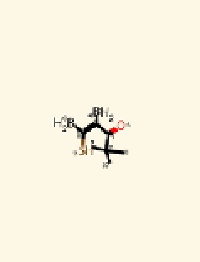 B/C(S)=C(\B)C(=O)C(C)(C)C